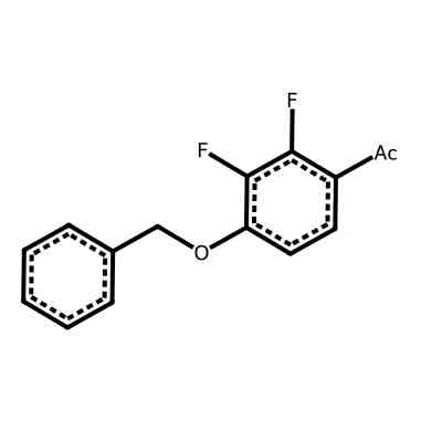 CC(=O)c1ccc(OCc2ccccc2)c(F)c1F